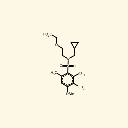 COc1cc(C)c(S(=O)(=O)N(CCOCC(=O)O)CC2CC2)c(C)c1C